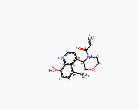 C=CC(=O)N1CCOCC1c1ccnc2c(O)ccc([N+](=O)[O-])c12